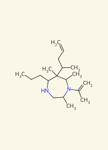 C=CCC(C)C1(C)C(CCC)NCC(C)N(C(=C)C)C1C